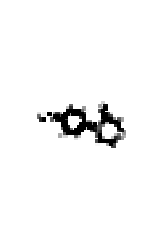 O=Nc1ccc(N2CCOCC2=O)cc1